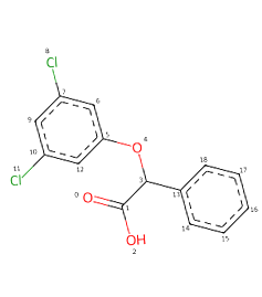 O=C(O)C(Oc1cc(Cl)cc(Cl)c1)c1ccccc1